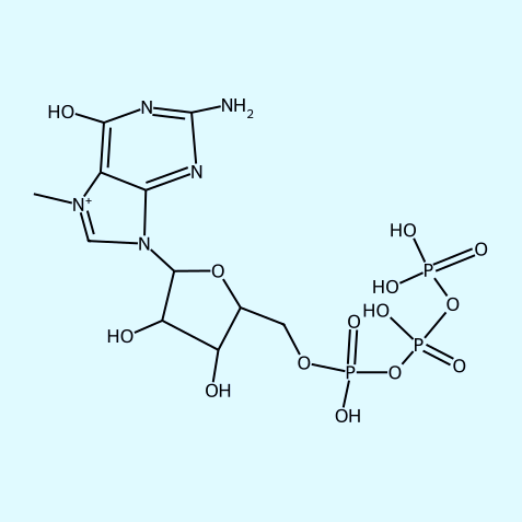 C[n+]1cn(C2OC(COP(=O)(O)OP(=O)(O)OP(=O)(O)O)C(O)C2O)c2nc(N)nc(O)c21